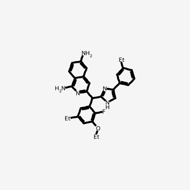 CCOc1cc(CC)cc(C(c2cc3cc(N)ccc3c(N)n2)c2nc(-c3cccc(CC)c3)c[nH]2)c1F